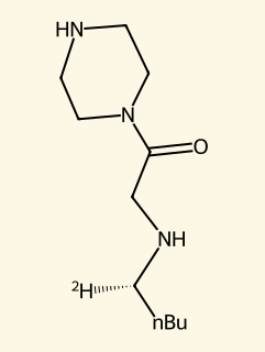 [2H][C@@H](CCCC)NCC(=O)N1CCNCC1